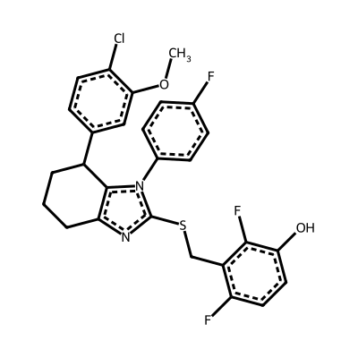 COc1cc(C2CCCc3nc(SCc4c(F)ccc(O)c4F)n(-c4ccc(F)cc4)c32)ccc1Cl